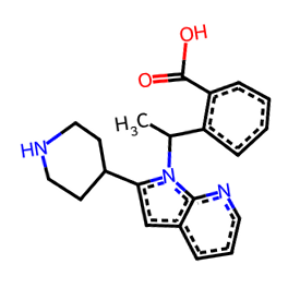 CC(c1ccccc1C(=O)O)n1c(C2CCNCC2)cc2cccnc21